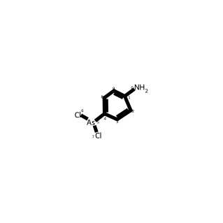 Nc1ccc([As](Cl)Cl)cc1